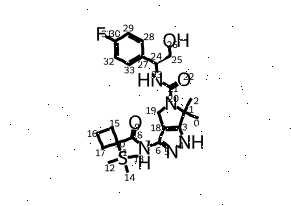 CC1(C)c2[nH]nc(NC(=O)C3(S(C)(C)C)CCC3)c2CN1C(=O)N[C@H](CO)c1ccc(F)cc1